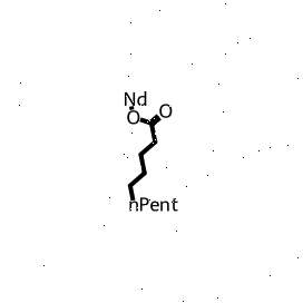 CCCCCCCCCC(=O)[O][Nd]